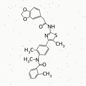 Cc1ccccc1C(=O)N(C)c1ccc(-c2nc(NC(=O)Cc3ccc4c(c3)OCO4)sc2C)cc1C